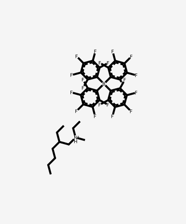 CCCCC(CC)C[NH+](C)CC.Fc1c(F)c(F)c([B-](c2c(F)c(F)c(F)c(F)c2F)(c2c(F)c(F)c(F)c(F)c2F)c2c(F)c(F)c(F)c(F)c2F)c(F)c1F